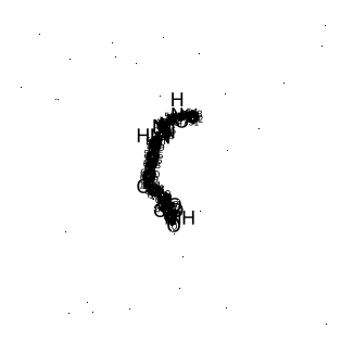 O=C1CC[C@H](N2C(=O)c3ccc(N4CCC(C(=O)N5CCN(C6CC7(CCN(c8ccc(Nc9ncnc%10c9ncn%10C9CC(NC(=O)Cc%10ccccc%10)C9)cc8)CC7)C6)CC5)CC4)cc3C2=O)C(=O)N1